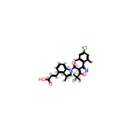 Cc1cc(Cl)cc(C)c1-c1noc(C(C)(C)F)c1C(=O)n1cc(C)c2c(/C=C/C(=O)O)cccc21